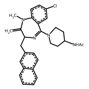 C=C1C(Cc2ccc3ccccc3c2)N=C(N2CCC(NC(C)=O)CC2)c2cc(Cl)ccc2N1C